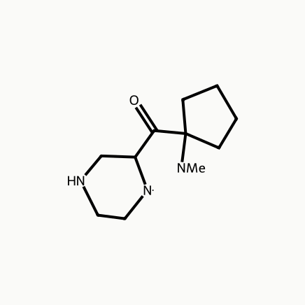 CNC1(C(=O)C2CNCC[N]2)CCCC1